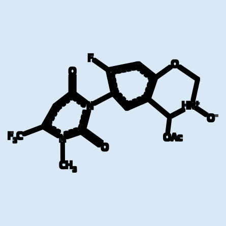 CC(=O)OC1c2cc(-n3c(=O)cc(C(F)(F)F)n(C)c3=O)c(F)cc2OC[NH+]1[O-]